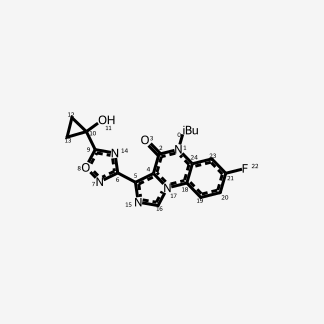 CCC(C)n1c(=O)c2c(-c3noc(C4(O)CC4)n3)ncn2c2ccc(F)cc21